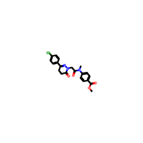 COC(=O)c1ccc(N(C)C(=O)CN2N=C(c3ccc(Cl)cc3)CCC2=O)cc1